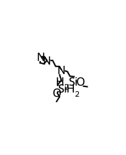 CCO[SiH2]CCCN(CCC[SiH2]OCC)CCCN1C=NCC1